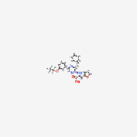 CC(C)(C)[Si](C)(C)Oc1cccc(-c2cnc(N/C(=C\c3ccco3)C(=O)O)c(Cc3ccccc3)n2)c1